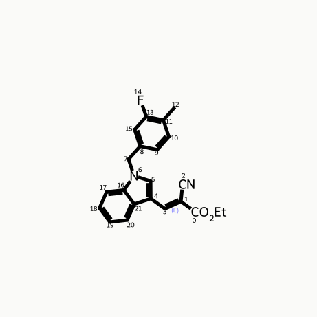 CCOC(=O)/C(C#N)=C/c1cn(Cc2ccc(C)c(F)c2)c2ccccc12